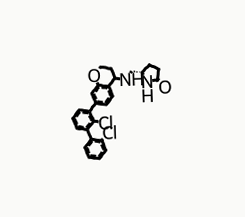 O=C1CC[C@@H](CNC2CCOc3cc(-c4cccc(-c5ccccc5Cl)c4Cl)ccc32)N1